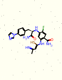 CC(=N)/C=C(\S)Nc1cc(N[C@H](Cc2ccc(-n3ccnc3)cc2)C(N)=O)c(F)cc1C(N)=O